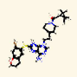 CC1(C)C(C(=O)N2CCC(CCn3cnc(N)c4nc(Sc5cc6c(cc5Br)OCC=C6)nc3-4)CC2)C1(C)C